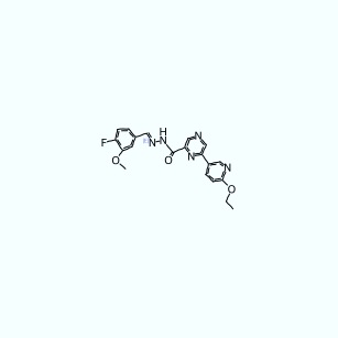 CCOc1ccc(-c2cncc(C(=O)N/N=C/c3ccc(F)c(OC)c3)n2)cn1